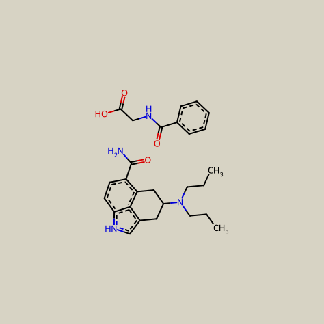 CCCN(CCC)C1Cc2c[nH]c3ccc(C(N)=O)c(c23)C1.O=C(O)CNC(=O)c1ccccc1